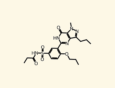 CCCOc1ccc(S(=O)(=O)NC(=O)CC)cc1-c1nc2c(CCC)nn(C)c2c(=O)[nH]1